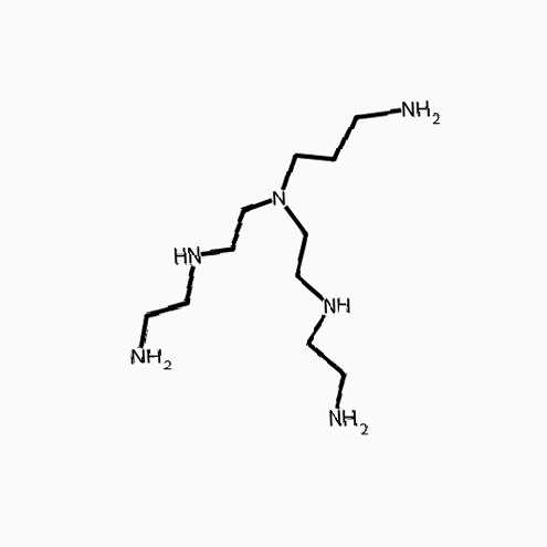 NCCCN(CCNCCN)CCNCCN